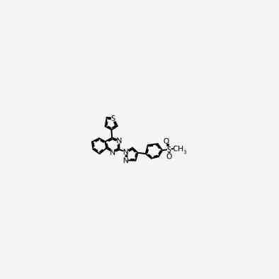 CS(=O)(=O)c1ccc(-c2cnn(-c3nc(-c4ccsc4)c4ccccc4n3)c2)cc1